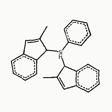 CC1=Cc2ccccc2C1[SiH](c1ccccc1)C1C(C)=Cc2ccccc21